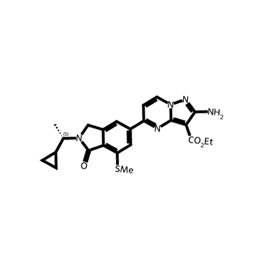 CCOC(=O)c1c(N)nn2ccc(-c3cc4c(c(SC)c3)C(=O)N([C@@H](C)C3CC3)C4)nc12